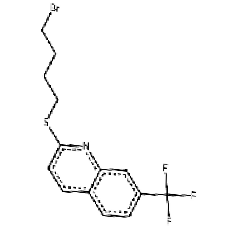 FC(F)(F)c1ccc2ccc(SCCCCBr)nc2c1